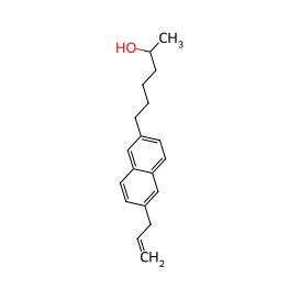 C=CCc1ccc2cc(CCCCC(C)O)ccc2c1